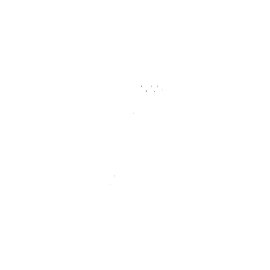 C=CCS(=O)(=O)[N]C